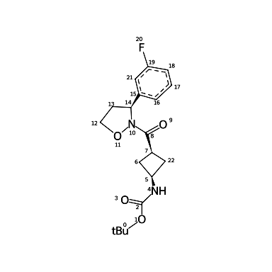 CC(C)(C)OC(=O)N[C@H]1C[C@@H](C(=O)N2OCC[C@H]2c2cccc(F)c2)C1